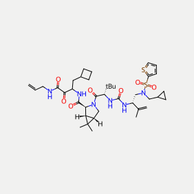 C=CCNC(=O)C(=O)C(CC1CCC1)NC(=O)[C@@H]1[C@@H]2[C@H](CN1C(=O)[C@@H](NC(=O)N[C@H](CN(CC1CC1)S(=O)(=O)c1cccs1)C(=C)C)C(C)(C)C)C2(C)C